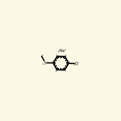 CSc1ccc([O-])cc1.[Na+]